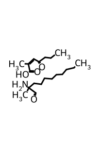 CCCC(=O)C=C(C)C(=O)O.CCCCCCCCCC(C)(N)C=O